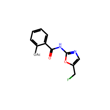 CC(=O)Oc1ccccc1C(=O)Nc1ncc(CF)o1